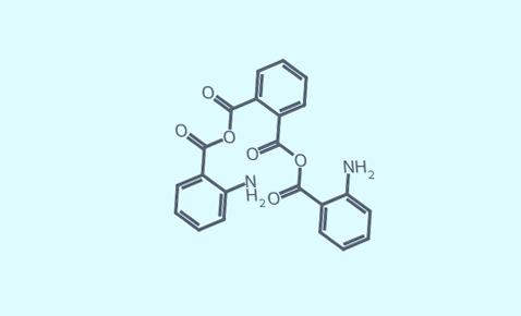 Nc1ccccc1C(=O)OC(=O)c1ccccc1C(=O)OC(=O)c1ccccc1N